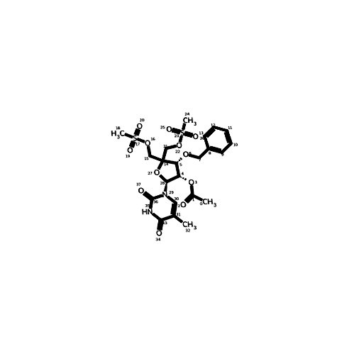 CC(=O)O[C@H]1[C@@H](OCc2ccccc2)C(COS(C)(=O)=O)(COS(C)(=O)=O)O[C@@H]1n1cc(C)c(=O)[nH]c1=O